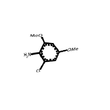 COc1cc(Cl)c(N)c(OC)c1